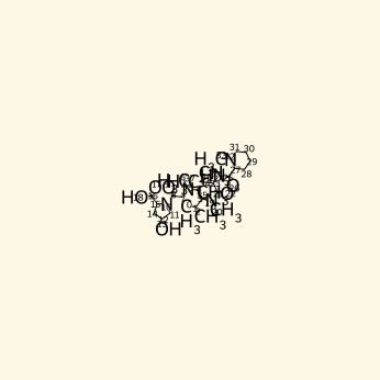 CC(C)[C@@H](CN(C)CC(=O)N1C[C@H](O)C[C@H]1C(=O)O)N(C)C(=O)[C@@H](NC(=O)C1CCCCN1C)C(C)(C)C